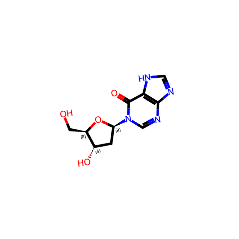 O=c1c2[nH]cnc2ncn1[C@H]1C[C@H](O)[C@@H](CO)O1